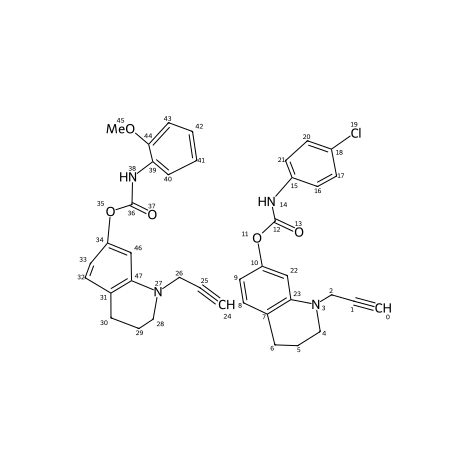 C#CCN1CCCc2ccc(OC(=O)Nc3ccc(Cl)cc3)cc21.C#CCN1CCCc2ccc(OC(=O)Nc3ccccc3OC)cc21